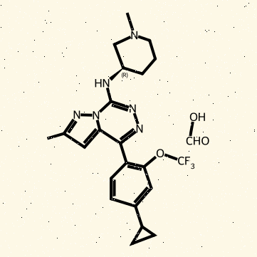 Cc1cc2c(-c3ccc(C4CC4)cc3OC(F)(F)F)nnc(N[C@@H]3CCCN(C)C3)n2n1.O=CO